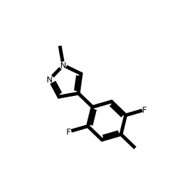 Cc1cc(F)c(-c2cnn(C)c2)cc1F